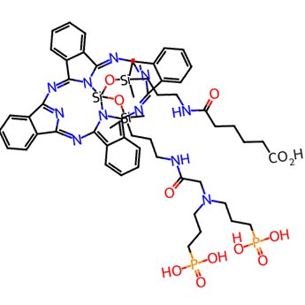 C[Si](C)(CCCNC(=O)CCCCC(=O)O)O[Si]1(O[Si](C)(C)CCCNC(=O)CN(CCCP(=O)(O)O)CCCP(=O)(O)O)n2c3c4ccccc4c2/N=C2N=C(/N=c4/c5ccccc5/c(n41)=N/C1=NC(=N\3)/c3ccccc31)c1ccccc1\2